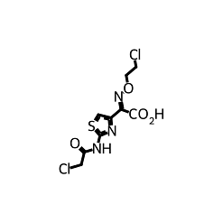 O=C(CCl)Nc1nc(/C(=N/OCCCl)C(=O)O)cs1